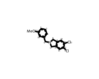 COc1cccc(CN2Cc3cc(Cl)c(Cl)cc3C2)c1